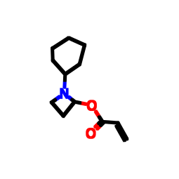 C=CC(=O)OC1CCN1C1CCCCC1